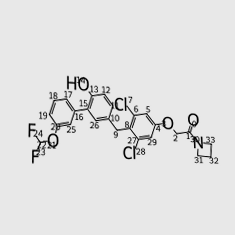 O=C(COc1cc(Cl)c(Cc2ccc(O)c(-c3cccc(OC(F)F)c3)c2)c(Cl)c1)N1CCC1